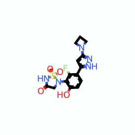 O=C1CN(c2c(O)ccc(-c3cc(N4CCC4)n[nH]3)c2F)S(=O)(=O)N1